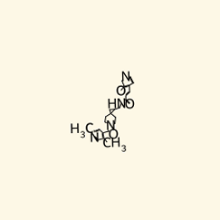 Cc1cc(C(=O)N2CCC3(CC2)CC3CNC(=O)c2cc3ccncc3o2)c(C)cn1